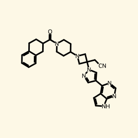 N#CCC1(n2cc(-c3ncnc4[nH]ccc34)cn2)CN(C2CCN(C(=O)C3CCc4ccccc4C3)CC2)C1